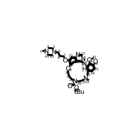 CN1CCN(CCCOc2cc3ncnc4c3cc2OCCCN(C(=O)OC(C)(C)C)CCN(C)Cc2ccc3c(c2N4)OCO3)CC1